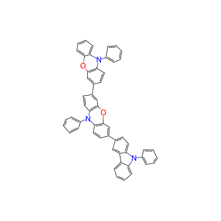 c1ccc(N2c3ccccc3Oc3cc(-c4ccc5c(c4)Oc4cc(-c6ccc7c(c6)c6ccccc6n7-c6ccccc6)ccc4N5c4ccccc4)ccc32)cc1